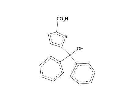 O=C(O)c1ccc(C(O)(c2ccccc2)c2ccccc2)s1